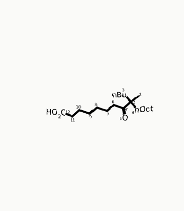 CCCCCCCCC(C)(CCCC)C(=O)CCCCCCC(=O)O